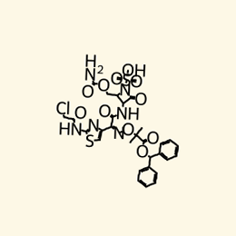 CC(C)(ON=C(C(=O)NC1C(=O)N(S(=O)(=O)O)C1COC(N)=O)c1csc(NC(=O)CCl)n1)C(=O)OC(c1ccccc1)c1ccccc1